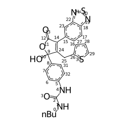 CCCCNC(=O)Nc1ccc(C2(O)OC(=O)C(c3ccc4nsnc4c3)=C2Cc2cccs2)cc1